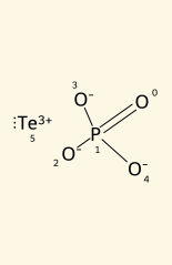 O=P([O-])([O-])[O-].[Te+3]